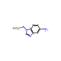 CCOC(=O)Cn1cnc2cc(N)ccc21